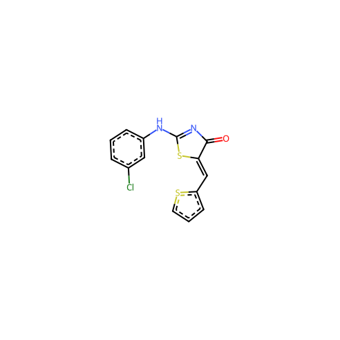 O=C1N=C(Nc2cccc(Cl)c2)SC1=Cc1cccs1